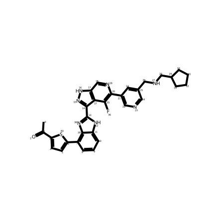 CC(=O)c1ccc(-c2cccc3[nH]c(-c4n[nH]c5cnc(-c6cncc(CNCC7CCCC7)c6)c(F)c45)nc23)s1